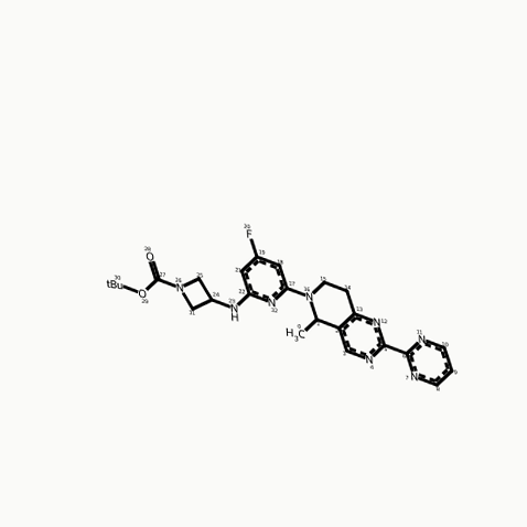 CC1c2cnc(-c3ncccn3)nc2CCN1c1cc(F)cc(NC2CN(C(=O)OC(C)(C)C)C2)n1